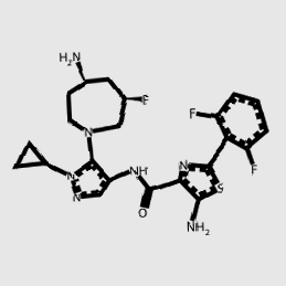 Nc1sc(-c2c(F)cccc2F)nc1C(=O)Nc1cnn(C2CC2)c1N1CC[C@@H](N)C[C@@H](F)C1